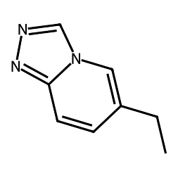 CCc1ccc2nncn2c1